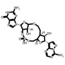 Nc1nc2c(ncn2[C@@H]2OC3OCC[C@H]4[C@@H](O)[C@H](c5cnn6c(N)ncnc56)O[C@@H]4COP(=O)(O)O[C@@H]2[C@@H]3O)c(=O)[nH]1